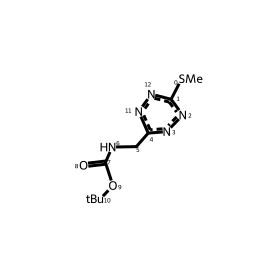 CSc1nnc(CNC(=O)OC(C)(C)C)nn1